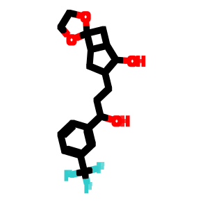 OC(CCC1CC2C(CC23OCCO3)C1O)c1cccc(C(F)(F)F)c1